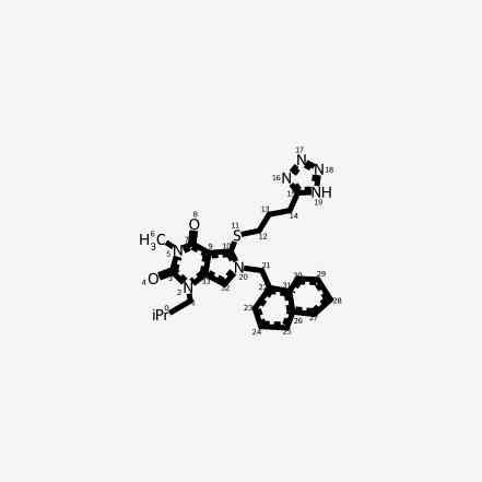 CC(C)Cn1c(=O)n(C)c(=O)c2c(SCCCc3nnn[nH]3)n(Cc3cccc4ccccc34)cc21